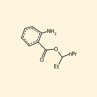 CCCC(CC)OC(=O)c1ccccc1N